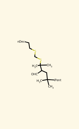 CCCCCCCCCCCCSCSC(C)(C)C(C=O)CC(C)(C)C(C)CCC